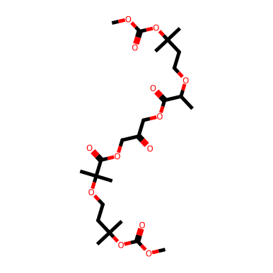 COC(=O)OC(C)(C)CCOC(C)C(=O)OCC(=O)COC(=O)C(C)(C)OCCC(C)(C)OC(=O)OC